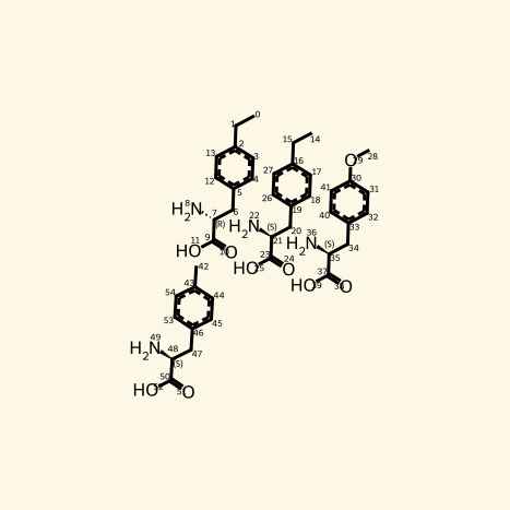 CCc1ccc(C[C@@H](N)C(=O)O)cc1.CCc1ccc(C[C@H](N)C(=O)O)cc1.COc1ccc(C[C@H](N)C(=O)O)cc1.Cc1ccc(C[C@H](N)C(=O)O)cc1